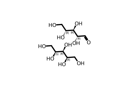 O=C[C@H](O)[C@H](O)[C@H](O)CO.OC[C@@H](O)[C@H](O)[C@@H](O)CO